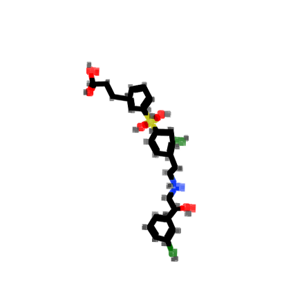 Cl.O=C(O)CCc1cccc(S(=O)(=O)c2ccc(CCNC[C@@H](O)c3cccc(Cl)c3)cc2)c1